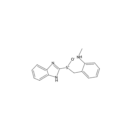 CNc1ccccc1C[S+]([O-])c1nc2ccccc2[nH]1